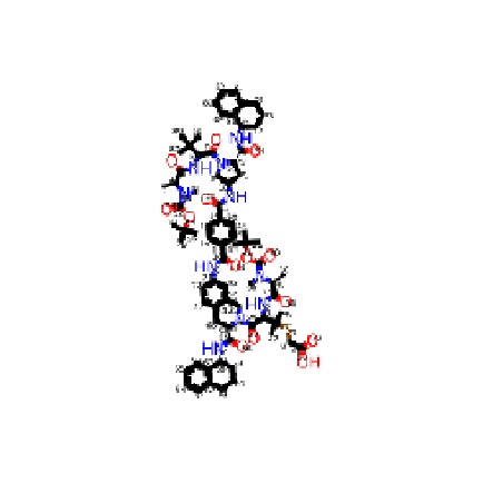 C[C@@H](C(=O)NC(C(=O)N1CC(NC(=O)c2ccc(C(=O)Nc3ccc4c(c3)CN(C(=O)C(NC(=O)[C@H](C)N(C)C(=O)OC(C)(C)C)C(C)(C)SCC(=O)O)[C@H](C(=O)N[C@@H]3CCCc5ccccc53)C4)cc2)C[C@H]1C(=O)N[C@@H]1CCCc2ccccc21)C(C)(C)C)N(C)C(=O)OC(C)(C)C